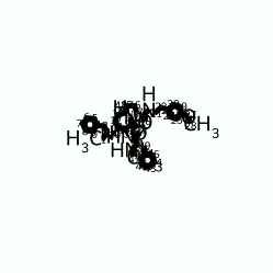 CCN(Cc1ccccc1)C[C@H]1CC[C@H]2CC[C@@H](C(=O)NCCc3ccc(OC)cc3)N2C(=O)[C@H]1NC(=O)[C@@H](Cc1ccccc1)NC